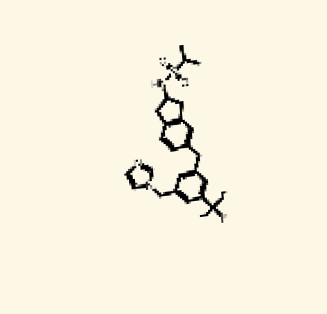 CC(C)S(=O)(=O)NC1Cc2ccc(Cc3cc(Cn4ccnc4)cc(C(F)(F)F)c3)cc2C1